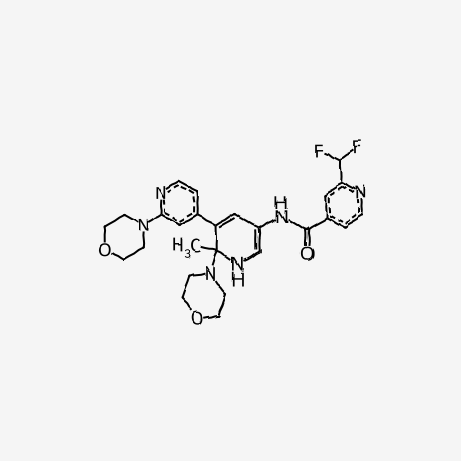 CC1(N2CCOCC2)NC=C(NC(=O)c2ccnc(C(F)F)c2)C=C1c1ccnc(N2CCOCC2)c1